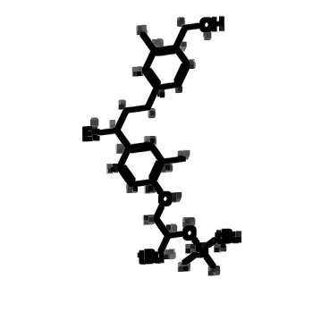 CCC(CCc1ccc(CO)c(C)c1)c1ccc(OCC(O[Si](C)(C)C(C)(C)C)C(C)(C)C)c(C)c1